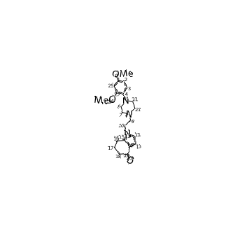 COc1ccc(N2CCN(CCn3ccc4c3CCCC4=O)CC2)c(OC)c1